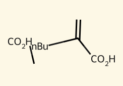 C=C(CCCC)C(=O)O.CC(=O)O